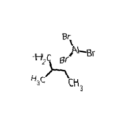 [Br][Al]([Br])[Br].[CH2]C(C)CC